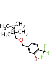 C[SiH](C)C(C)(C)COCc1ccc(C(F)(F)F)c(Br)c1